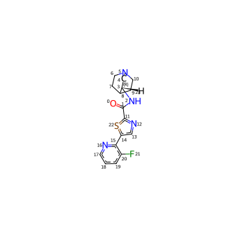 O=C(N[C@H]1CN2CCC1CC2)c1ncc(-c2ncccc2F)s1